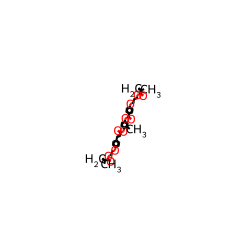 C=C(C)C(=O)OCCCOc1ccc(C(=O)Oc2ccc(OC(=O)/C=C/c3ccc(OCCOC(=O)C(=C)C)cc3)c(C)c2)cc1